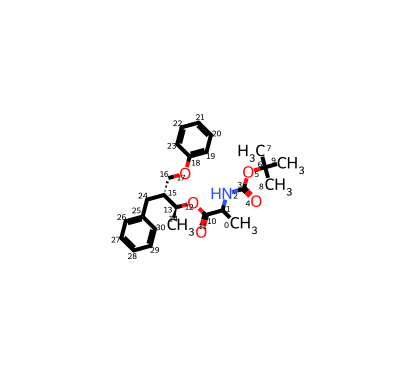 CC(NC(=O)OC(C)(C)C)C(=O)O[C@@H](C)[C@@H](COc1ccccc1)Cc1ccccc1